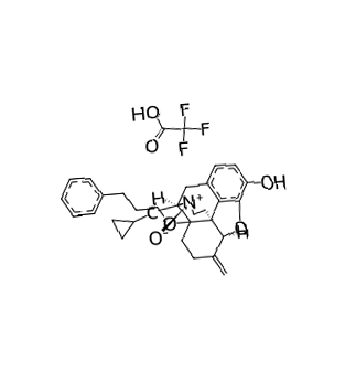 C=C1CCC2(OCCCc3ccccc3)[C@H]3Cc4ccc(O)c5c4[C@@]2(CC[N@+]3([O-])CC2CC2)[C@H]1O5.O=C(O)C(F)(F)F